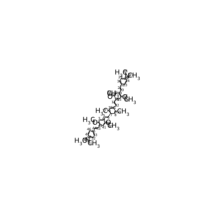 COc1cc(/C=C/c2cc(C)c(/C=C/c3cc(OC)c(/C=C/c4ccc(N(C)C)cc4)cc3OC)cc2C)c(OC)cc1/C=C/c1ccc(N(C)C)cc1